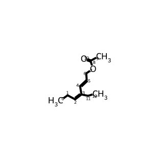 CCC=C(C=CCOC(C)=O)CC